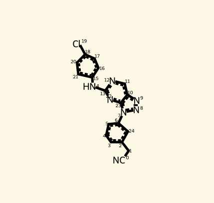 N#CCc1cccc(-n2nnc3cnc(Nc4ccc(Cl)cc4)nc32)c1